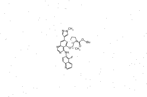 C[C@H](Oc1cc(-c2cnn(C)c2)cc2ncnc(Nc3ccc4ncccc4c3F)c12)[C@@H]1CCCN1C(=O)OC(C)(C)C